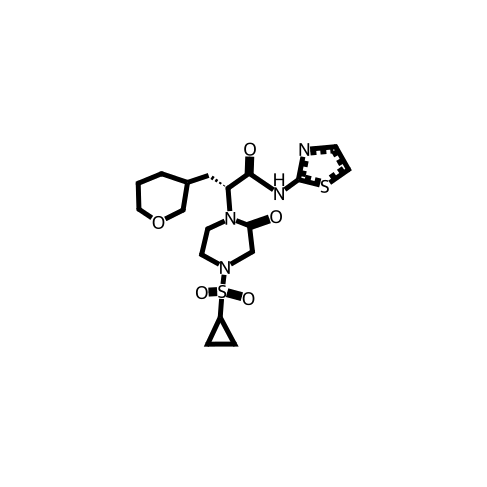 O=C(Nc1nccs1)[C@@H](CC1CCCOC1)N1CCN(S(=O)(=O)C2CC2)CC1=O